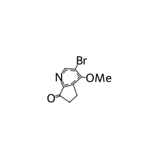 COc1c(Br)cnc2c1CCC2=O